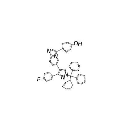 Oc1ccc(-c2cnc3ccc(-c4cn(C(c5ccccc5)(c5ccccc5)C5C=CC=CC5)nc4-c4ccc(F)cc4)cn23)cc1